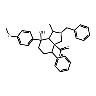 COc1ccc(C2(O)CCC(c3ccccc3)C3(C(=O)O)CN(Cc4ccccc4)C(C)C23)cc1